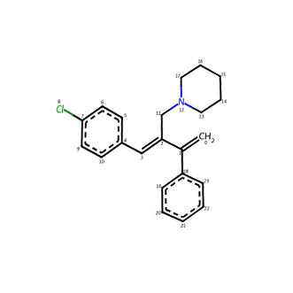 C=C(/C(=C/c1ccc(Cl)cc1)CN1CCCCC1)c1ccccc1